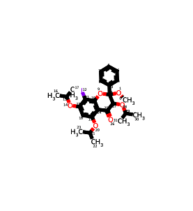 COC1(c2ccccc2)Oc2c(I)c(OC(C)C)cc(OC(C)C)c2C(=O)C1OC(C)C